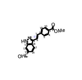 COC(=O)c1ccc(/C=C/c2n[nH]c3cc(C=O)ccc23)cc1